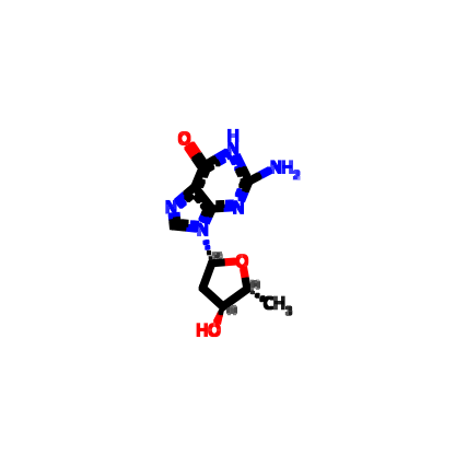 C[C@H]1O[C@@H](n2cnc3c(=O)[nH]c(N)nc32)C[C@@H]1O